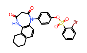 O=C1CC(=O)N(c2ccc(OS(=O)(=O)c3ccccc3Br)cc2)c2ccc3c(c2N1)CCCC3